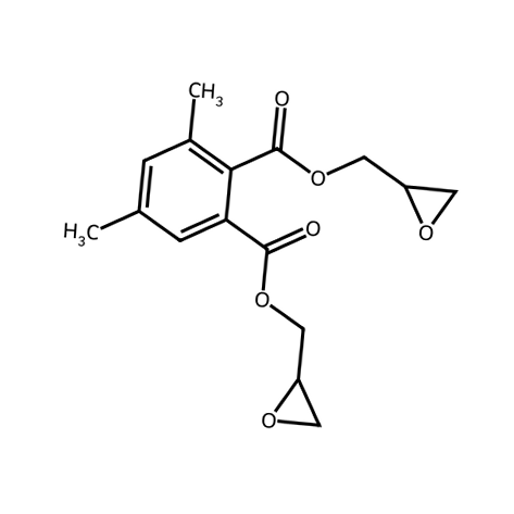 Cc1cc(C)c(C(=O)OCC2CO2)c(C(=O)OCC2CO2)c1